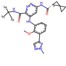 [2H]C([2H])([2H])NC(=O)c1nnc(NC(=O)[C@@H]2CC23CC3)cc1Nc1cccc(-c2cnn(C)n2)c1OC